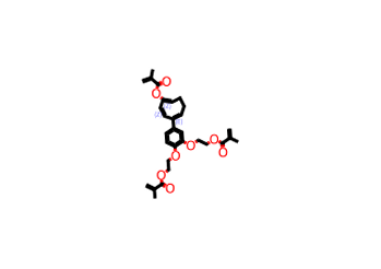 C=C(C)C(=O)OCCOc1ccc(C2=C/CC/C=C(OC(=O)C(=C)C)/C=C\2)cc1OCCOC(=O)C(=C)C